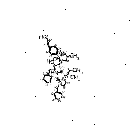 CC[C@H](C)[C@@H](C(=O)N[C@@H](Cc1ccccc1)[C@@H](O)CN(CC(C)C)S(=O)(=O)c1ccc(C=NO)cc1)N1CCN(Cc2ccncc2)C1=O